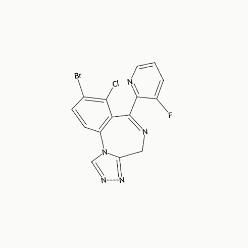 Fc1cccnc1C1=NCc2nncn2-c2ccc(Br)c(Cl)c21